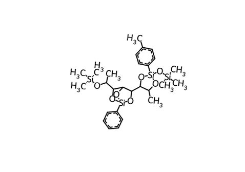 Cc1ccc([Si]2(O[Si](C)(C)C)OC(C)C(C3O[Si]4(c5ccccc5)OC(C(C)O[Si](C)(C)C)C3O4)O2)cc1